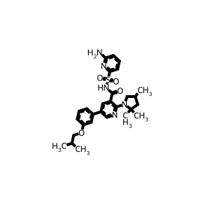 CC(C)COc1cccc(-c2cnc(N3CC(C)CC3(C)C)c(C(=O)NS(=O)(=O)c3cccc(N)n3)c2)c1